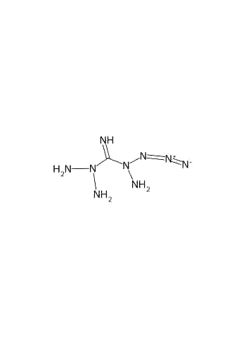 [N-]=[N+]=NN(N)C(=N)N(N)N